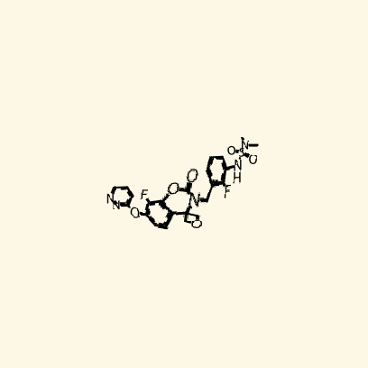 CN(C)S(=O)(=O)Nc1cccc(CN2C(=O)Oc3c(ccc(Oc4cccnn4)c3F)C23COC3)c1F